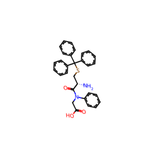 N[C@@H](CSC(c1ccccc1)(c1ccccc1)c1ccccc1)C(=O)N(CC(=O)O)c1ccccc1